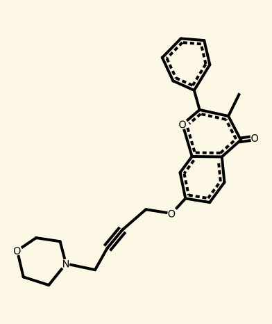 Cc1c(-c2ccccc2)oc2cc(OCC#CCN3CCOCC3)ccc2c1=O